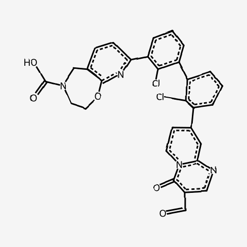 O=Cc1cnc2cc(-c3cccc(-c4cccc(-c5ccc6c(n5)OCCN(C(=O)O)C6)c4Cl)c3Cl)ccn2c1=O